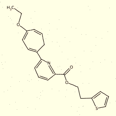 CCOC1=CC=C(c2cccc(C(=O)OCCc3cccs3)n2)CC=C1